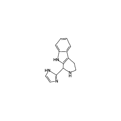 c1ccc2c3c([nH]c2c1)C(c1ncc[nH]1)NCC3